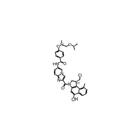 Cc1cccc2c(O)cc3c(c12)[C@H](CCl)CN3C(=O)c1cn2cc(NC(=O)c3ccc(ON(C)COC(C)C)cc3)ccc2n1